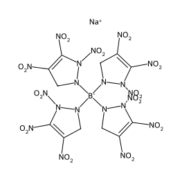 O=[N+]([O-])C1=C([N+](=O)[O-])N([N+](=O)[O-])N([B-](N2CC([N+](=O)[O-])=C([N+](=O)[O-])N2[N+](=O)[O-])(N2CC([N+](=O)[O-])=C([N+](=O)[O-])N2[N+](=O)[O-])N2CC([N+](=O)[O-])=C([N+](=O)[O-])N2[N+](=O)[O-])C1.[Na+]